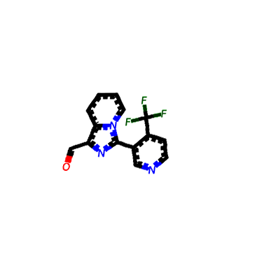 O=Cc1nc(-c2cnccc2C(F)(F)F)n2ccccc12